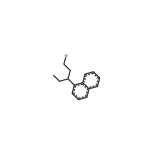 CCC(CC[O])c1cccc2ccccc12